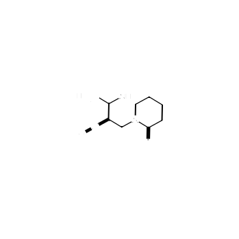 NC(C(=O)O)C(=C=O)CN1CCCCC1=O